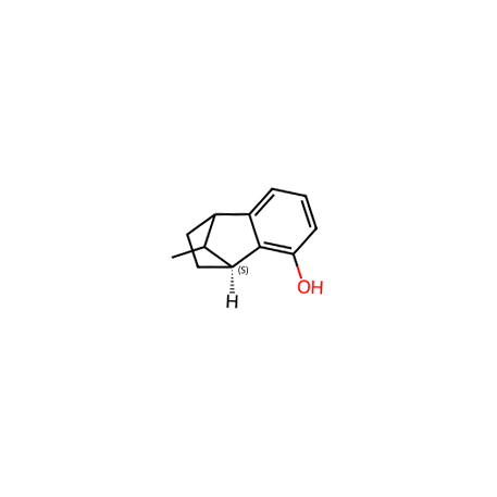 CC1C2CC[C@@H]1c1c(O)cccc12